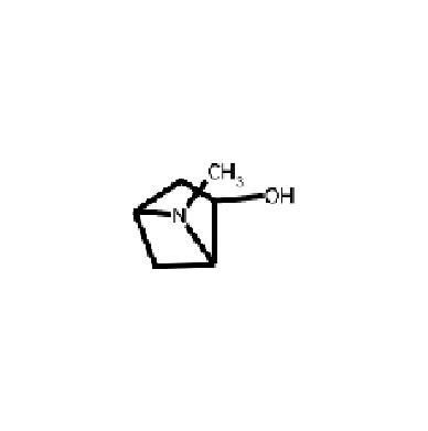 CN1C2CC(O)C1C2